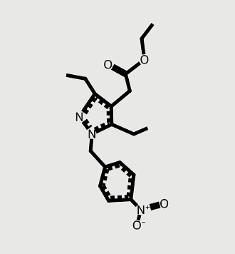 CCOC(=O)Cc1c(CC)nn(Cc2ccc([N+](=O)[O-])cc2)c1CC